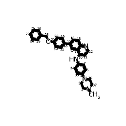 CN1CCN(c2ccc(Nc3ccnc4ccc(-c5ccc(OCc6ccccc6)cc5)cc34)cc2)CC1